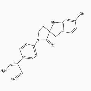 N=C/C(=C\N)c1ccc(N2CCC3(Cc4ccc(O)cc4N3)C2=O)cc1